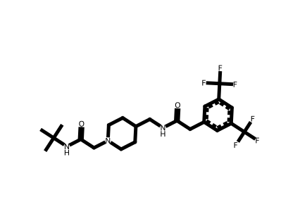 CC(C)(C)NC(=O)CN1CCC(CNC(=O)Cc2cc(C(F)(F)F)cc(C(F)(F)F)c2)CC1